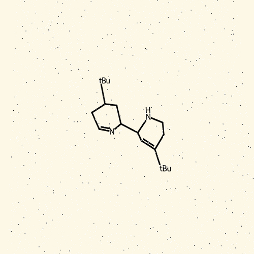 CC(C)(C)C1=CC(C2CC(C(C)(C)C)CC=N2)NCC1